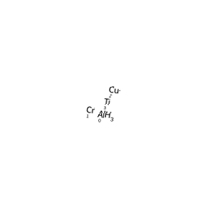 [AlH3].[Cr].[Cu].[Ti]